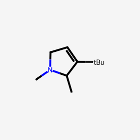 CC1C(C(C)(C)C)=CCN1C